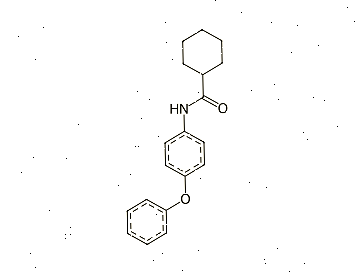 O=C(Nc1ccc(Oc2ccccc2)cc1)C1CCCCC1